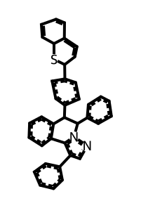 C1=CC(c2ccc(C3c4ccccc4-c4c(-c5ccccc5)cnn4C3c3ccccc3)cc2)SC2C=CC=CC=12